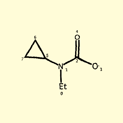 CCN(C([O])=O)C1CC1